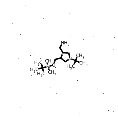 CC(C)(C)N1CC(CN)C(CO[Si](C)(C)C(C)(C)C)C1